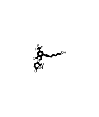 O=C1CCC(N2Cc3c(C#CCCCCCO)cc(C(F)(F)F)cc3C2=O)C(=O)N1